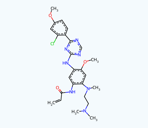 C=CC(=O)Nc1cc(Nc2ncnc(-c3ccc(OC)cc3Cl)n2)c(OC)cc1N(C)CCN(C)C